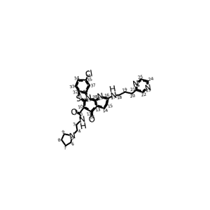 O=C(NCCN1CCCC1)c1c(=O)c2ccc(NCCCc3cnccn3)nc2n2c1sc1ccc(Cl)cc12